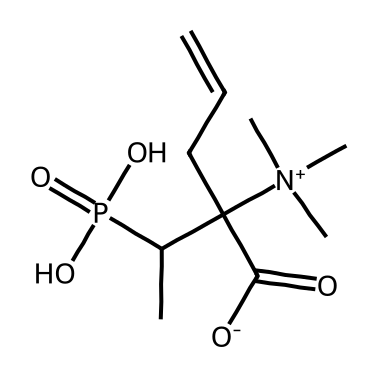 C=CCC(C(=O)[O-])(C(C)P(=O)(O)O)[N+](C)(C)C